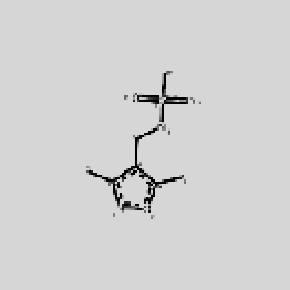 Cc1noc(C)c1C[N]S(C)(=O)=O